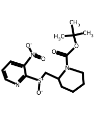 CC(C)(C)OC(=O)N1CCCCC1C[S+]([O-])c1ncccc1[N+](=O)[O-]